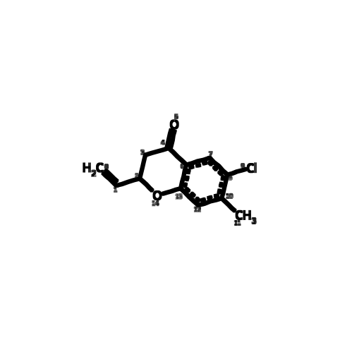 C=CC1CC(=O)c2cc(Cl)c(C)cc2O1